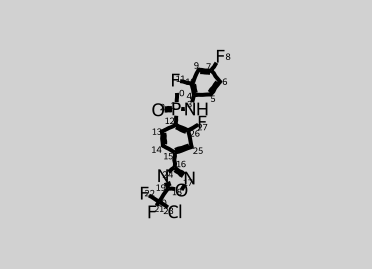 CP(=O)(Nc1ccc(F)cc1F)c1ccc(-c2noc(C(F)(F)Cl)n2)cc1F